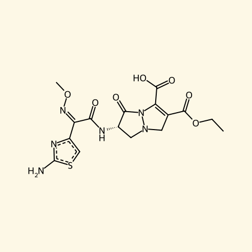 CCOC(=O)C1=C(C(=O)O)N2C(=O)[C@@H](NC(=O)/C(=N\OC)c3csc(N)n3)CN2C1